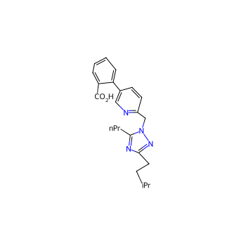 CCCc1nc(CCC(C)C)nn1Cc1ccc(-c2ccccc2C(=O)O)cn1